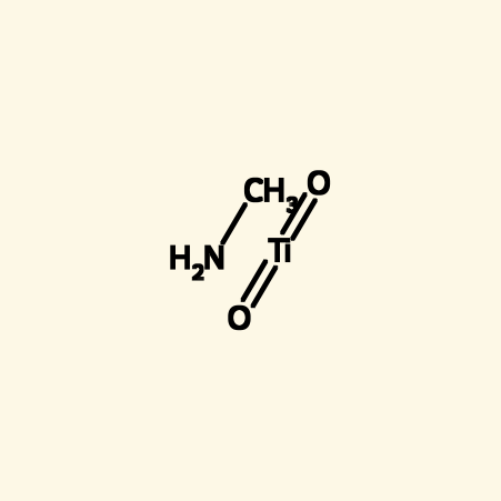 CN.[O]=[Ti]=[O]